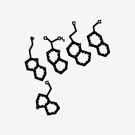 BrCCc1ccc2ccccc2n1.CC(Cl)c1ccc2ccccc2n1.ClCCc1ccc2ccccc2n1.ClCc1ccnc2ccccc12.ClCc1cnc2ccccc2c1